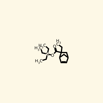 CCC1(C(=O)O[Si](CC)(CC)CC)CC2C=CC1C2